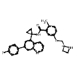 Cc1ccc(OC[C@@H]2CCN2)cc1C(=O)NC1(c2cc(-c3ccc(F)cc3)cc3ncccc23)CC1